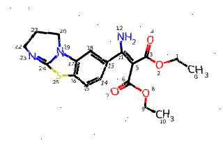 CCOC(=O)C(C(=O)OCC)=C(N)c1ccc2c(c1)N1CCCN=C1S2